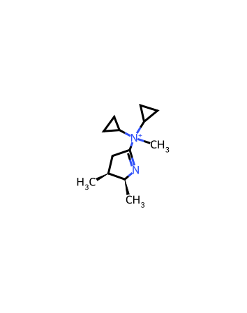 C[C@@H]1N=C([N+](C)(C2CC2)C2CC2)C[C@@H]1C